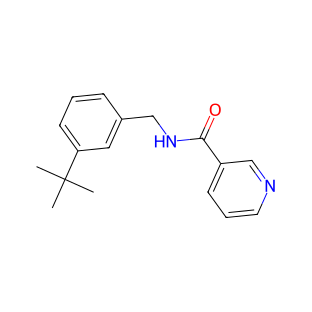 CC(C)(C)c1cccc(CNC(=O)c2cccnc2)c1